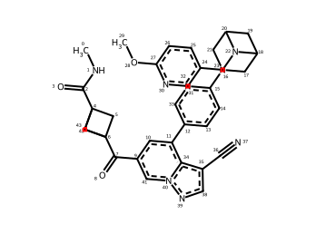 CNC(=O)C12CC(C(=O)c3cc(-c4ccc(N5CC6CC(C5)N6Cc5ccc(OC)nc5)nc4)c4c(C#N)cnn4c3)(C1)C2